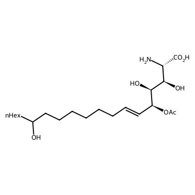 CCCCCCC(O)CCCCCC/C=C/[C@H](OC(C)=O)[C@@H](O)[C@H](O)[C@H](N)C(=O)O